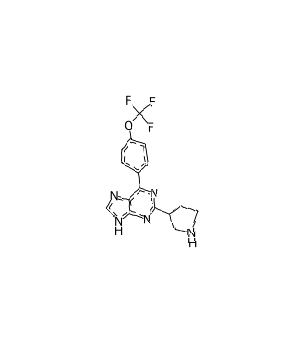 FC(F)(F)Oc1ccc(-c2nc(C3CCNC3)nc3[nH]cnc23)cc1